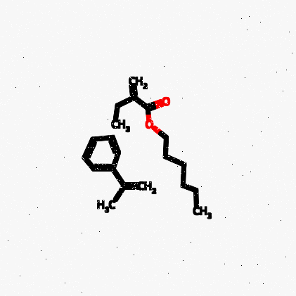 C=C(C)c1ccccc1.C=C(CC)C(=O)OCCCCCC